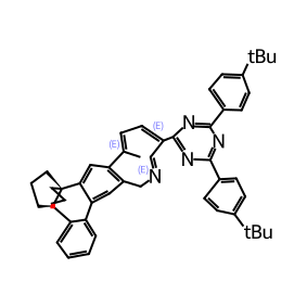 C\C1=C/C=C(c2nc(-c3ccc(C(C)(C)C)cc3)nc(-c3ccc(C(C)(C)C)cc3)n2)\C=N\Cc2cc3c(cc21)[C@]12CCC[C@]1(CCC2)c1ccccc1-3